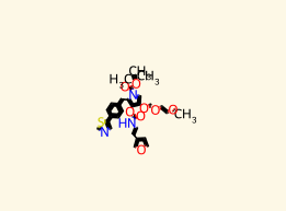 COCCOCO[C@H]1CN(C(=O)OC(C)(C)C)[C@H](Cc2ccc(-c3cncs3)cc2)[C@@H]1OC(=O)NCC[C@H]1CCOC1